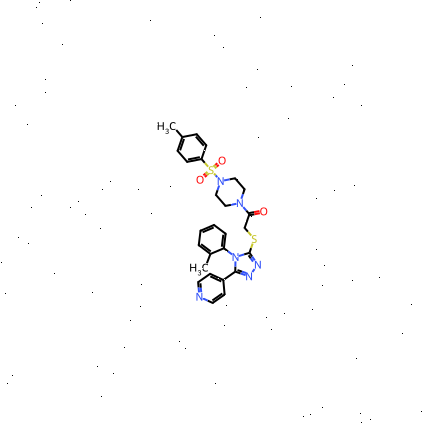 Cc1ccc(S(=O)(=O)N2CCN(C(=O)CSc3nnc(-c4ccncc4)n3-c3ccccc3C)CC2)cc1